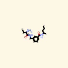 CCCC(C)NC(=O)c1cccc(CNC(=O)C(N)CC)c1